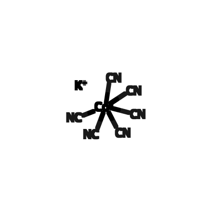 N#[C][Co-]([C]#N)([C]#N)([C]#N)([C]#N)[C]#N.[K+]